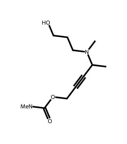 CNC(=O)OCC#CC(C)N(C)CCCO